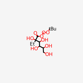 CCC(O)(C(=O)OOOC(C)(C)C)C(O)C(O)C(O)CO